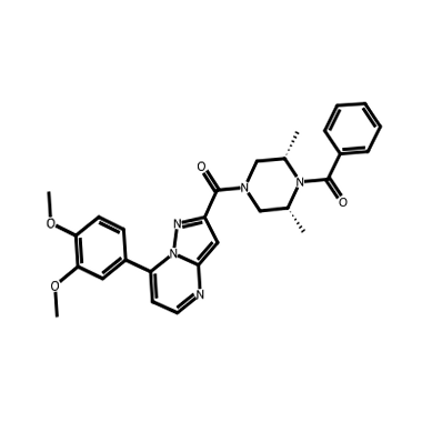 COc1ccc(-c2ccnc3cc(C(=O)N4C[C@@H](C)N(C(=O)c5ccccc5)[C@@H](C)C4)nn23)cc1OC